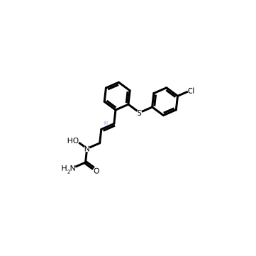 NC(=O)N(O)C/C=C/c1ccccc1Sc1ccc(Cl)cc1